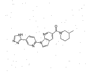 CC1CCCN(C(=O)c2cnc3c(ccn3-c3ccc(-c4nnc[nH]4)cn3)c2)C1